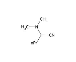 CCCC(C#N)N(C)C